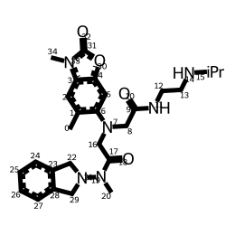 Cc1cc2c(cc1N(CC(=O)NCCNC(C)C)CC(=O)N(C)N1Cc3ccccc3C1)oc(=O)n2C